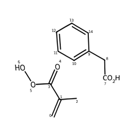 C=C(C)C(=O)OO.O=C(O)Cc1ccccc1